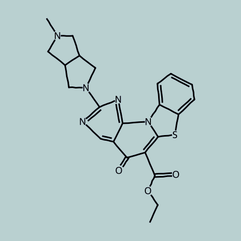 CCOC(=O)c1c(=O)c2cnc(N3CC4CN(C)CC4C3)nc2n2c1sc1ccccc12